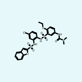 CCOc1ccc(NC(=O)N(C)C)cc1S(=O)(=O)Nc1ccc(Cl)cc1NS(=O)(=O)c1cc2ccccc2o1